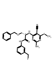 CSc1nc(N)nc(N[C@@H](COCc2ccccc2)C(=O)Nc2cccc(CF)c2)c1C#N